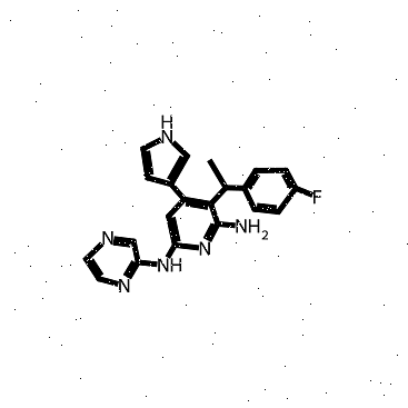 CC(c1ccc(F)cc1)c1c(-c2cc[nH]c2)cc(Nc2cnccn2)nc1N